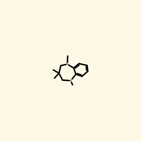 CN1CC(C)(C)CN(C)c2ccccc21